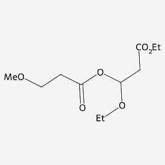 CCOC(=O)CC(OCC)OC(=O)CCOC